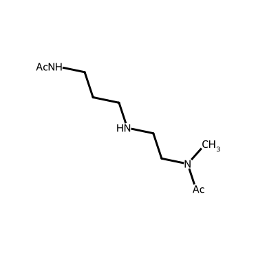 CC(=O)NCCCNCCN(C)C(C)=O